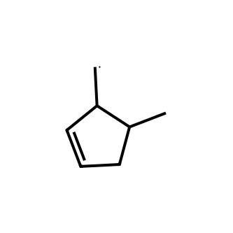 [CH2]C1C=CCC1C